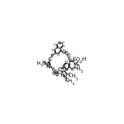 Cc1c2c(nn1C)CS(=O)(=O)Cc1cc(n(C)n1)CSc1cc(c3ccccc3c1)OCCCC1=C(C(=O)O)C(C)CCc3c1ccc(Cl)c3-2